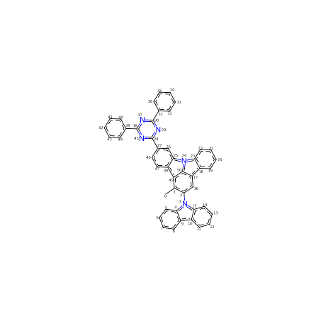 Cc1c(-n2c3ccccc3c3ccccc32)cc2c3ccccc3n3c4cc(-c5nc(-c6ccccc6)nc(-c6ccccc6)n5)ccc4c1c23